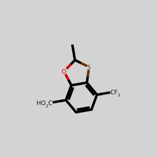 CC1Oc2c(C(=O)O)ccc(C(F)(F)F)c2S1